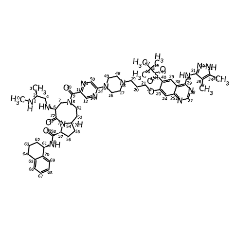 CN[C@@H](C)CN[C@H]1CN(C(=O)c2cnc(N3CCN(CCCOc4cc5ncnc(Nc6n[nH]c(C)c6C)c5cc4S(=O)(=O)C(C)(C)C)CC3)cn2)CC[C@H]2CC[C@@H](C(=O)N[C@@H]3CCCc4ccccc43)N2C1=O